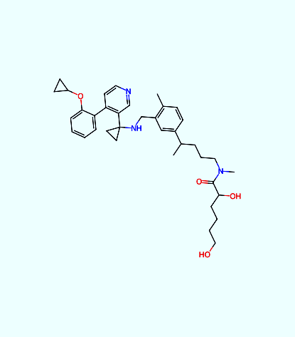 Cc1ccc(C(C)CCCN(C)C(=O)C(O)CCCCO)cc1CNC1(c2cnccc2-c2ccccc2OC2CC2)CC1